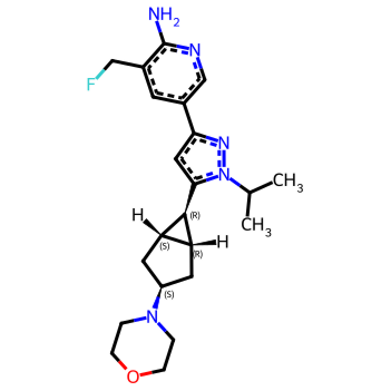 CC(C)n1nc(-c2cnc(N)c(CF)c2)cc1[C@H]1[C@@H]2C[C@@H](N3CCOCC3)C[C@@H]21